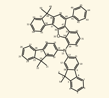 CC1(C)c2ccccc2-c2ccc(N(c3ccc4c(c3)C(C)(C)c3ccccc3-4)c3cccc4c3oc3c5c(cc(-c6ccccc6)c34)C(C)(C)c3ccccc3-5)cc21